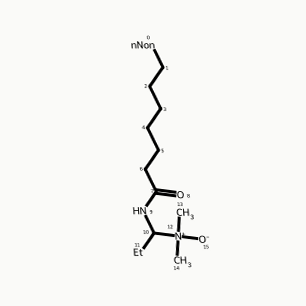 CCCCCCCCCCCCCCCC(=O)NC(CC)[N+](C)(C)[O-]